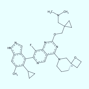 Cc1cc2[nH]ncc2c(-c2ncc3c(N4CCC[C@]5(CCO5)C4)nc(OCC4(CN(C)C)CC4)nc3c2F)c1C1CC1